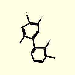 Cc1cc(F)c(F)cc1-c1cccc(C)c1F